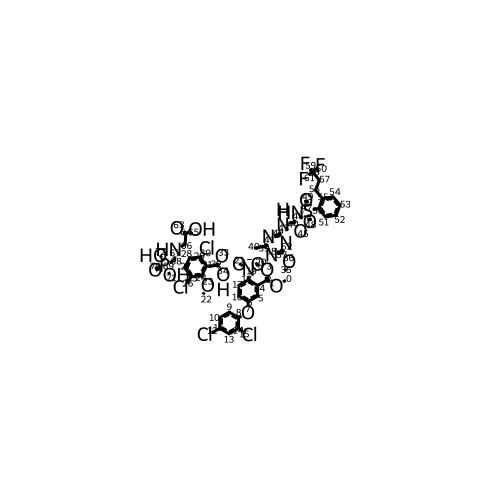 COC(=O)c1cc(Oc2ccc(Cl)cc2Cl)ccc1[N+](=O)[O-].COc1c(Cl)ccc(Cl)c1C(=O)O.COc1nc(C)nc(NC(=O)NS(=O)(=O)c2ccccc2CCC(F)(F)F)n1.O=C(O)CNCP(=O)(O)O